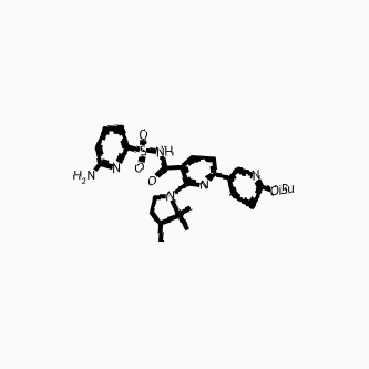 CC(C)COc1ccc(-c2ccc(C(=O)NS(=O)(=O)c3cccc(N)n3)c(N3CCC(C)C3(C)C)n2)cn1